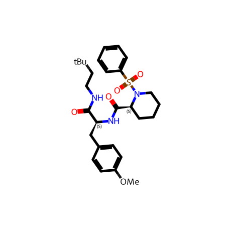 COc1ccc(C[C@H](NC(=O)[C@@H]2CCCCN2S(=O)(=O)c2ccccc2)C(=O)NCCC(C)(C)C)cc1